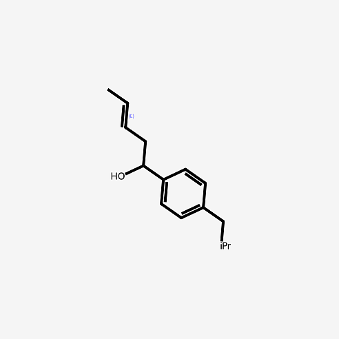 C/C=C/CC(O)c1ccc(CC(C)C)cc1